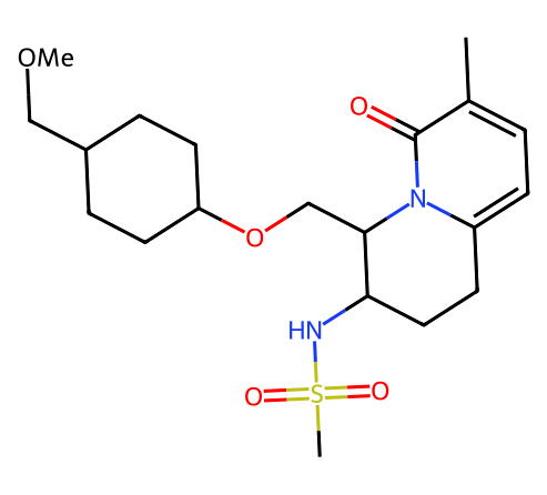 COCC1CCC(OCC2C(NS(C)(=O)=O)CCc3ccc(C)c(=O)n32)CC1